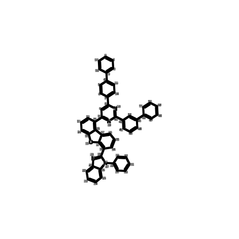 c1ccc(-c2ccc(-c3cc(-c4cccc5oc6c(-c7nc8ccccc8n7-c7ccccc7)cccc6c45)nc(-c4cccc(-c5ccccc5)c4)n3)cc2)cc1